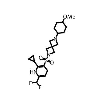 COC1CCC(N2CC3(C2)CN(S(=O)(=O)C2=C(C4CC4)NC(C(F)F)=CC2)C3)CC1